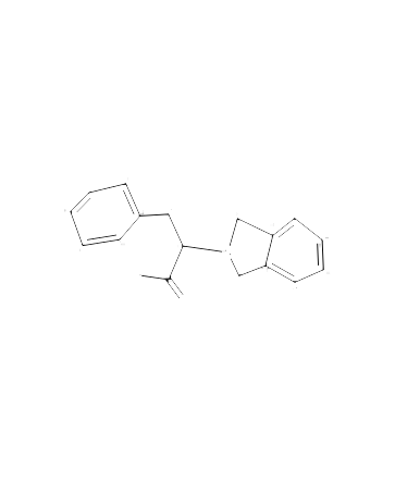 O=C(O)C(Cc1ccccc1)N1Cc2ccccc2C1